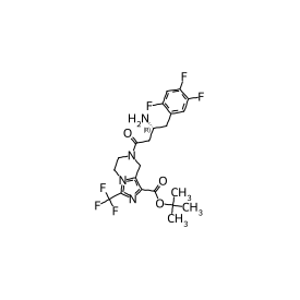 CC(C)(C)OC(=O)c1nc(C(F)(F)F)n2c1CN(C(=O)C[C@H](N)Cc1cc(F)c(F)cc1F)CC2